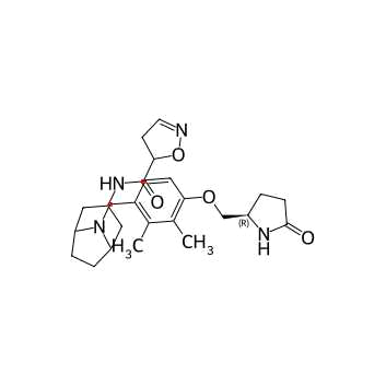 Cc1c(CN2C3CCC2CC(NC(=O)C2CC=NO2)C3)ccc(OC[C@H]2CCC(=O)N2)c1C